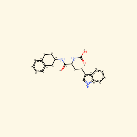 O=C(O)NC(CCc1c[nH]c2ccccc12)C(=O)NC1CCc2ccccc2C1